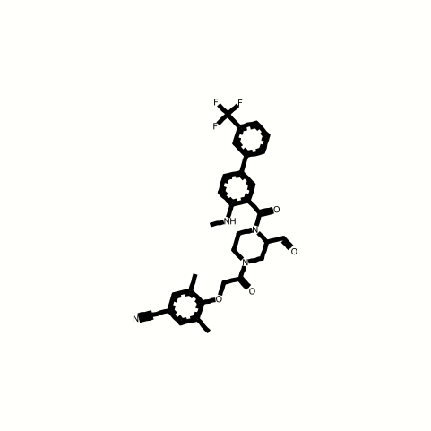 CNc1ccc(-c2cccc(C(F)(F)F)c2)cc1C(=O)N1CCN(C(=O)COc2c(C)cc(C#N)cc2C)CC1C=O